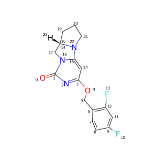 O=c1nc(OCc2ccc(F)cc2F)cc2n1C[C@@H]1CCCN21